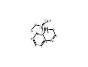 C1=Nc2ccccc2NC1.CCC=O